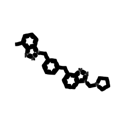 Cc1cccc2c1nnn2Cc1cccc(Cc2cccc3c2nnn3CN2CCCC2)c1